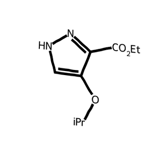 CCOC(=O)c1n[nH]cc1OC(C)C